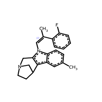 C/C(=C/n1c2c(c3cc(C)ccc31)C1CCN(C2)C1)c1ccccc1F